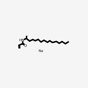 C=CC(=O)NC(C)CCCCCCCCCCCCCC.[Na]